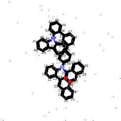 c1cc(-c2ccc(N(c3ccccc3-c3ccc4ccccc4c3)c3cccc4ccccc34)cc2)cc(-c2ccccc2-n2c3ccccc3c3ccccc32)c1